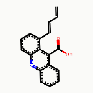 C=CC=Cc1cccc2nc3ccccc3c(C(=O)O)c12